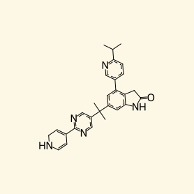 CC(C)c1ccc(-c2cc(C(C)(C)c3cnc(C4=CCNC=C4)nc3)cc3c2CC(=O)N3)cn1